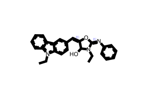 CCN1/C(=N\c2ccccc2)O/C(=C/c2ccc3c(c2)c2ccccc2n3CC)C1O